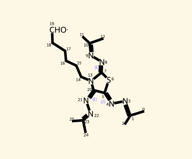 CC(C)=N/N=C1\S/C(=N/N=C(C)C)N(CCCCC[C]=O)\C1=N\N=C(C)C